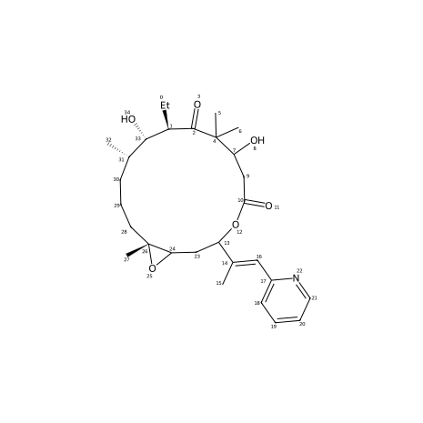 CC[C@H]1C(=O)C(C)(C)C(O)CC(=O)OC(/C(C)=C/c2ccccn2)CC2O[C@]2(C)CCC[C@H](C)[C@@H]1O